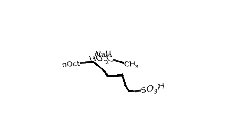 CC(=O)O.CCCCCCCCCCCCS(=O)(=O)O.[NaH]